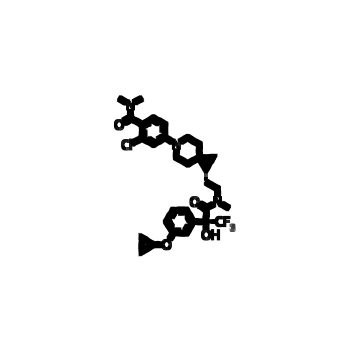 CN(C)C(=O)c1ccc(N2CCC3(CC2)C[C@@H]3CCN(C)C(=O)[C@](O)(c2cccc(OC3CC3)c2)C(F)(F)F)cc1Cl